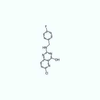 Oc1nc(NCc2ccc(F)cc2)nc2ccc(Cl)nc12